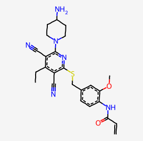 C=CC(=O)Nc1ccc(CSc2nc(N3CCC(N)CC3)c(C#N)c(CC)c2C#N)cc1OC